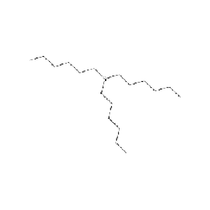 CCCCCC[Si](CCCCCC)CCCCCC